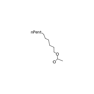 CCCCCCCCCCCOC(C)[O]